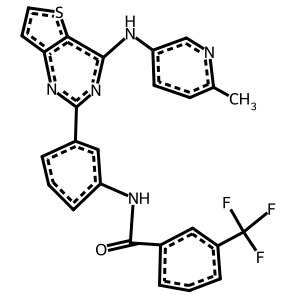 Cc1ccc(Nc2nc(-c3cccc(NC(=O)c4cccc(C(F)(F)F)c4)c3)nc3ccsc23)cn1